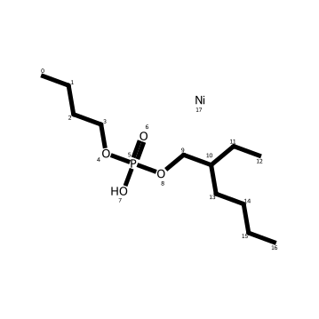 CCCCOP(=O)(O)OCC(CC)CCCC.[Ni]